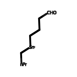 CCC[CH2][Sn][CH2]CCC=O